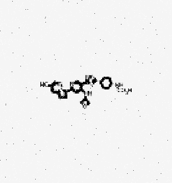 N#Cc1cnn2c(-c3cc(NC4COC4)c(-c4nnc([C@H]5CC[C@@H](NC(=O)O)CC5)s4)cn3)ccc2c1